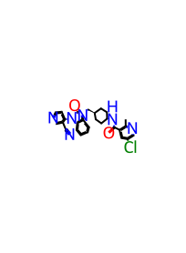 Cc1ncc(Cl)cc1C(=O)N[C@H]1CC[C@H](Cn2c(=O)n(-c3ccncc3C#N)c3ccccc32)CC1